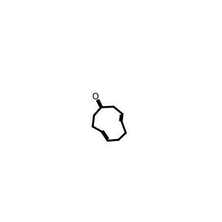 O=C1C/C=C/CC/C=C/CC1